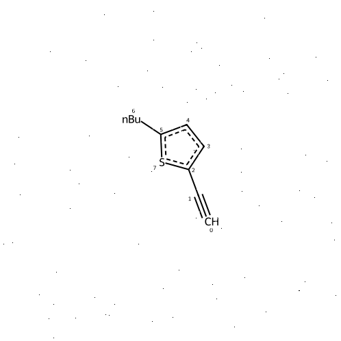 C#Cc1ccc(CCCC)s1